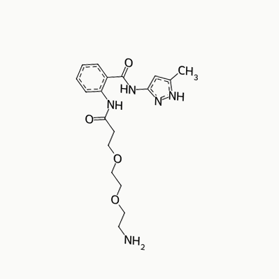 Cc1cc(NC(=O)c2ccccc2NC(=O)CCOCCOCCN)n[nH]1